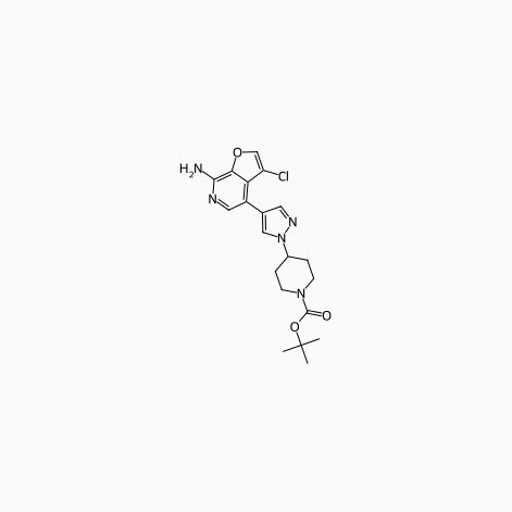 CC(C)(C)OC(=O)N1CCC(n2cc(-c3cnc(N)c4occ(Cl)c34)cn2)CC1